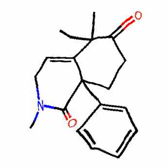 CN1CC=C2C(C)(C)C(=O)CCC2(c2ccccc2)C1=O